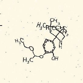 CCOC(C)Oc1ccc(C2(CC(C)(C)C)NCC2(C)C)cc1O